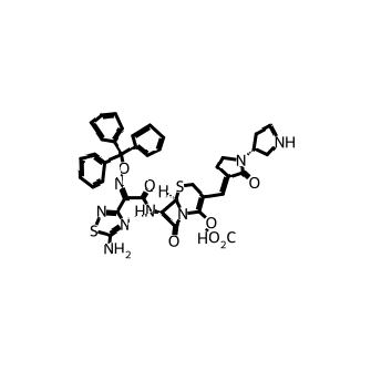 Nc1nc(/C(=N/OC(c2ccccc2)(c2ccccc2)c2ccccc2)C(=O)N[C@@H]2C(=O)N3C(OC(=O)O)=C(/C=C4\CCN([C@@H]5CCNC5)C4=O)CS[C@H]23)ns1